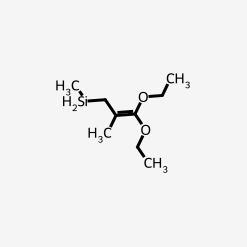 CCOC(OCC)=C(C)C[SiH2]C